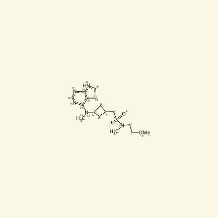 COCCN(C)S(=O)(=O)CC1CC(N(C)c2ncnc3[nH]ccc23)C1